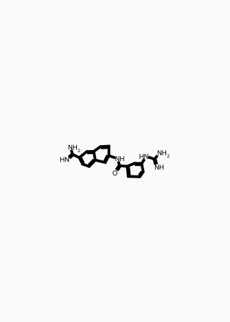 N=C(N)Nc1cccc(C(=O)Nc2ccc3cc(C(=N)N)ccc3c2)c1